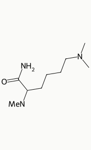 CNC(CCCCN(C)C)C(N)=O